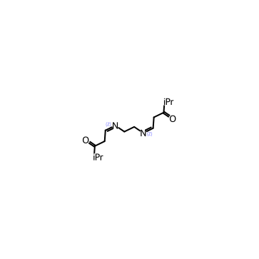 CC(C)C(=O)C/C=N\CC/N=C\CC(=O)C(C)C